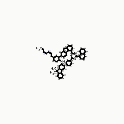 C=C/C=C\C=C/CC1=CC(C2C=CC3=C(Cc4cccc(-c5nc(-c6ccccc6)nc(-c6cccc7ccccc67)n5)c43)C2)C(Nc2ccc3c(c2)C(C)(C)c2ccccc2-3)CC1